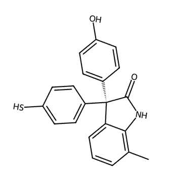 Cc1cccc2c1NC(=O)[C@]2(c1ccc(O)cc1)c1ccc(S)cc1